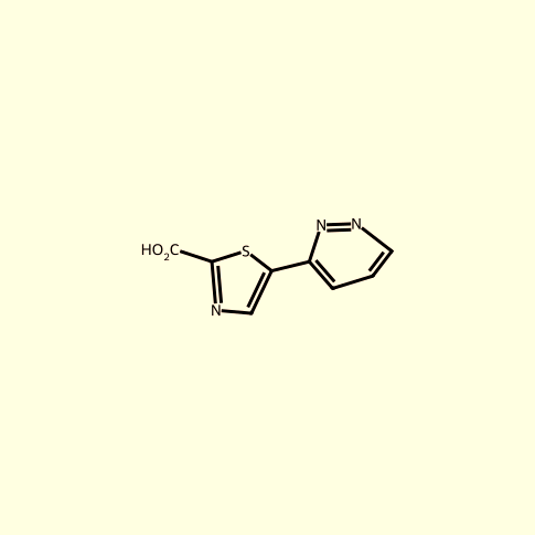 O=C(O)c1ncc(-c2cccnn2)s1